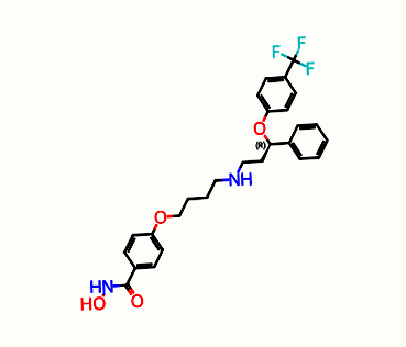 O=C(NO)c1ccc(OCCCCNCC[C@@H](Oc2ccc(C(F)(F)F)cc2)c2ccccc2)cc1